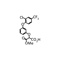 COC(=O)C(Oc1cccc(Oc2ccc(C(F)(F)F)cc2Cl)c1)C(=O)O